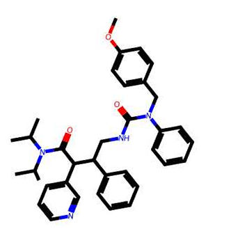 COc1ccc(CN(C(=O)NCC(c2ccccc2)C(C(=O)N(C(C)C)C(C)C)c2cccnc2)c2ccccc2)cc1